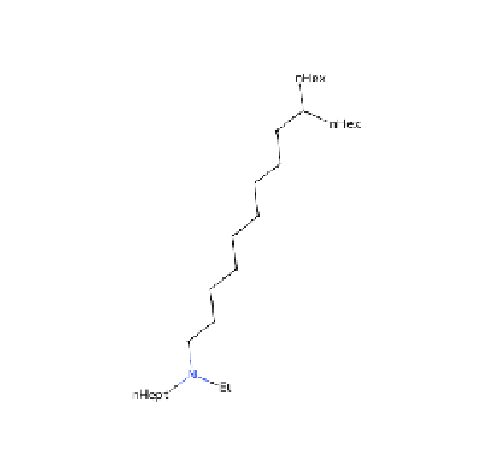 CCCCCCCN(CC)CCCCCCCCCC(CCCCCC)CCCCCC